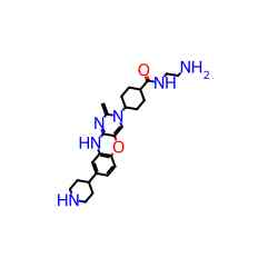 C=C1N=C2Nc3cc(C4CCNCC4)ccc3OC2=CN1C1CCC(C(=O)NCCN)CC1